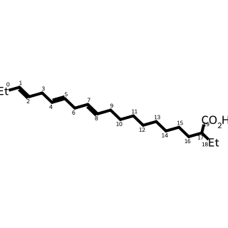 CCC=CCC=CCC=CCCCCCCCCC(CC)C(=O)O